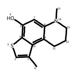 Cc1csc2c(O)cc3c(c12)CCCN3C